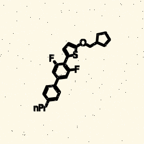 CCCc1ccc(-c2cc(F)c(-c3ccc(OCC4CCCC4)s3)c(F)c2)cc1